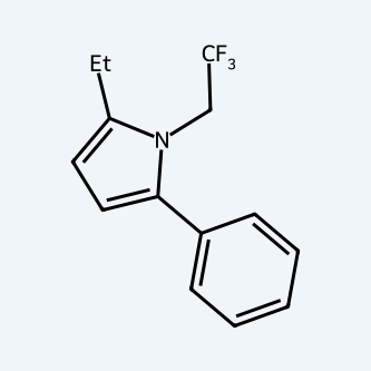 CCc1ccc(-c2ccccc2)n1CC(F)(F)F